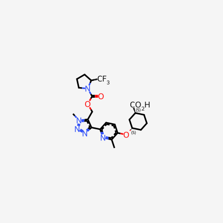 Cc1nc(-c2nnn(C)c2COC(=O)N2CCCC2C(F)(F)F)ccc1O[C@H]1CCC[C@H](C(=O)O)C1